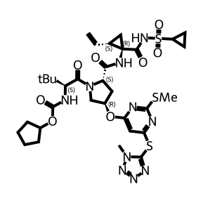 C=C[C@@H]1C[C@]1(NC(=O)[C@@H]1C[C@@H](Oc2cc(Sc3nnnn3C)nc(SC)n2)CN1C(=O)[C@@H](NC(=O)OC1CCCC1)C(C)(C)C)C(=O)NS(=O)(=O)C1CC1